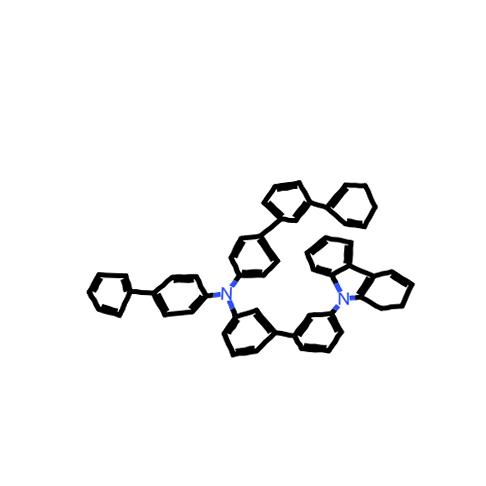 C1=CC(c2cccc(-c3ccc(N(c4ccc(-c5ccccc5)cc4)c4cccc(-c5cccc(-n6c7c(c8ccccc86)C=CCC7)c5)c4)cc3)c2)=CCC1